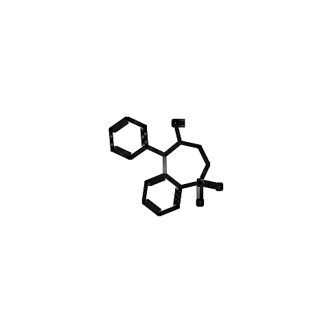 O=S1(=O)CCC(O)C(c2ccccc2)c2ccccc21